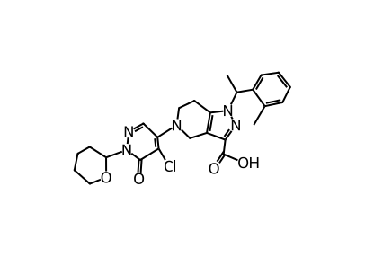 Cc1ccccc1C(C)n1nc(C(=O)O)c2c1CCN(c1cnn(C3CCCCO3)c(=O)c1Cl)C2